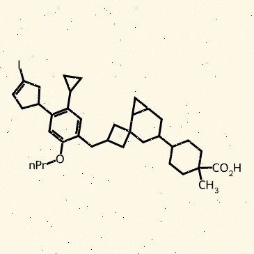 CCCOc1cc(C2CC=C(I)C2)c(C2CC2)cc1CC1CC2(C1)CC(C1CCC(C)(C(=O)O)CC1)CC1CC12